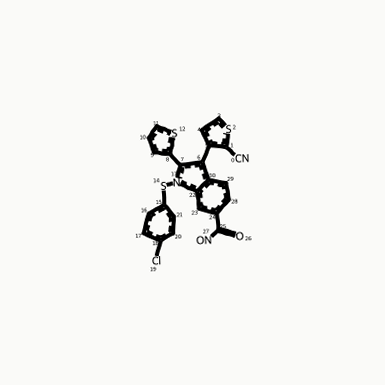 N#Cc1sccc1-c1c(-c2cccs2)n(Sc2ccc(Cl)cc2)c2cc(C(=O)N=O)ccc12